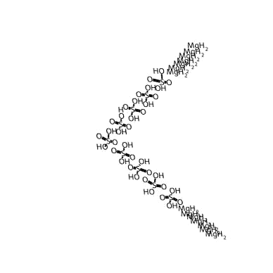 O=S(=O)(O)O.O=S(=O)(O)O.O=S(=O)(O)O.O=S(=O)(O)O.O=S(=O)(O)O.O=S(=O)(O)O.O=S(=O)(O)O.O=S(=O)(O)O.O=S(=O)(O)O.[MgH2].[MgH2].[MgH2].[MgH2].[MgH2].[MgH2].[MgH2].[MgH2].[MgH2].[MgH2].[MgH2].[MgH2].[MgH2].[MgH2]